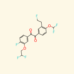 O=C(C(=O)c1ccc(F)c(OCC(F)F)c1)c1ccc(OC(F)F)c(CCF)c1